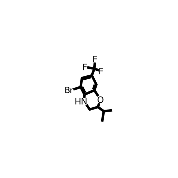 CC(C)C1CNc2c(Br)cc(C(F)(F)F)cc2O1